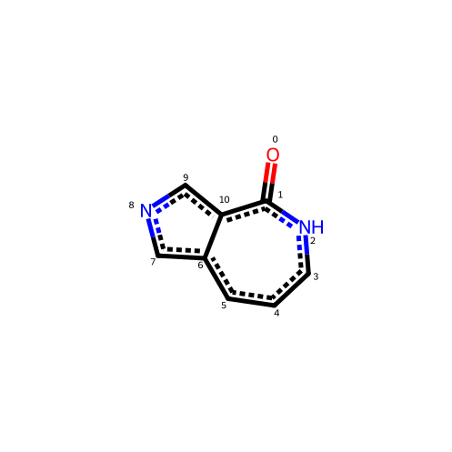 O=c1[nH]cccc2cncc1-2